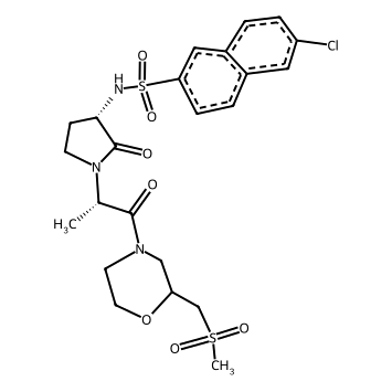 C[C@@H](C(=O)N1CCOC(CS(C)(=O)=O)C1)N1CC[C@H](NS(=O)(=O)c2ccc3cc(Cl)ccc3c2)C1=O